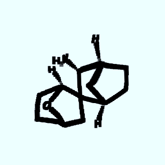 N[C@@H]1[C@H]2CC[C@H](C2)C12CC1CC[C@@H]2O1